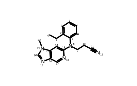 CCc1ccccc1N(CCC#N)c1cc2c(cn1)ncn2C